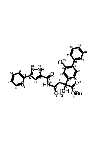 CC(C)COC(=O)C(O)(CC(C)NC(=O)c1cc(-c2ccccn2)n[nH]1)c1ccc(-c2ccccc2)c(Cl)c1